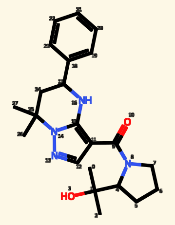 CC(C)(O)C1CCCN1C(=O)c1cnn2c1NC(c1ccccc1)CC2(C)C